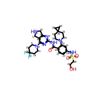 O=C(Nc1nc2c(c(N3CCC(F)(F)CC3)n1)CNC2)c1ccc(NS(=O)(=O)CCO)cc1N1CCC2(CC1)CC2